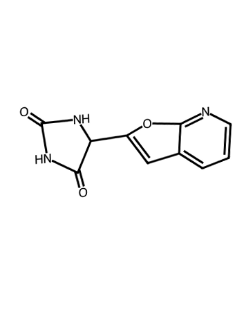 O=C1NC(=O)C(c2cc3cccnc3o2)N1